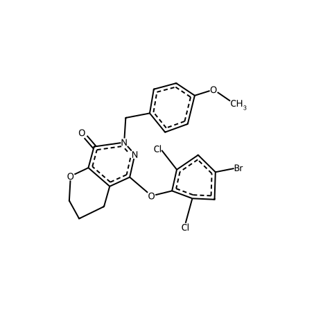 COc1ccc(Cn2nc(Oc3c(Cl)cc(Br)cc3Cl)c3c(c2=O)OCCC3)cc1